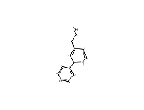 N#CCCc1ccnc(-c2ccncc2)c1